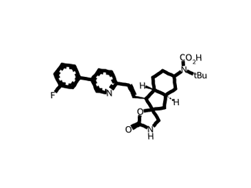 CC(C)(C)N(C(=O)O)C1CC[C@@H]2[C@@H](C1)CC1(CNC(=O)O1)[C@H]2C=Cc1ccc(-c2cccc(F)c2)cn1